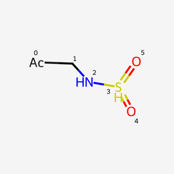 CC(=O)CN[SH](=O)=O